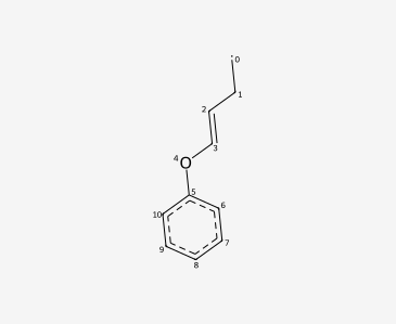 [CH2]C/C=C/Oc1ccccc1